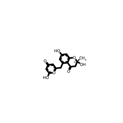 C[C@@]1(O)CC(=O)c2c(Cc3cc(=O)cc(O)o3)cc(O)cc2O1